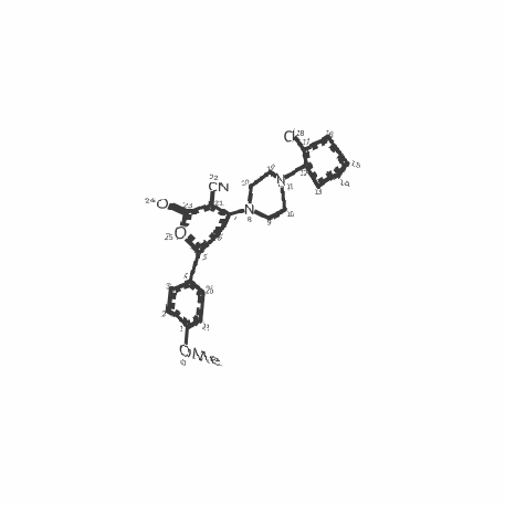 COc1ccc(-c2cc(N3CCN(c4ccccc4Cl)CC3)c(C#N)c(=O)o2)cc1